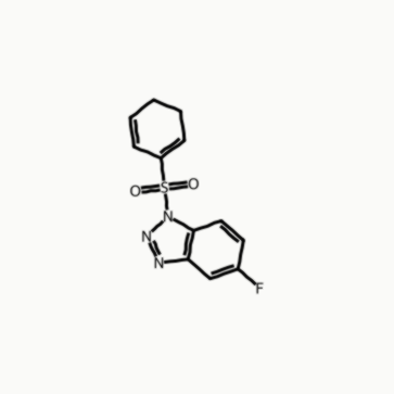 O=S(=O)(C1=CCCC=C1)n1nnc2cc(F)ccc21